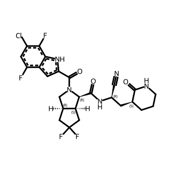 N#C[C@@H](C[C@@H]1CCCNC1=O)NC(=O)[C@H]1[C@H]2CC(F)(F)C[C@H]2CN1C(=O)c1cc2c(F)cc(Cl)c(F)c2[nH]1